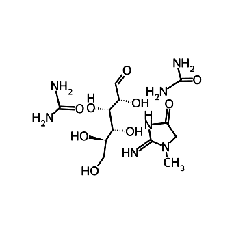 CN1CC(=O)NC1=N.NC(N)=O.NC(N)=O.O=C[C@H](O)[C@@H](O)[C@H](O)[C@H](O)CO